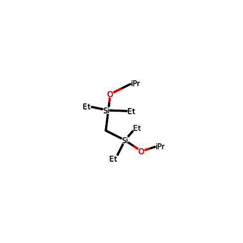 CC[Si](CC)(C[Si](CC)(CC)OC(C)C)OC(C)C